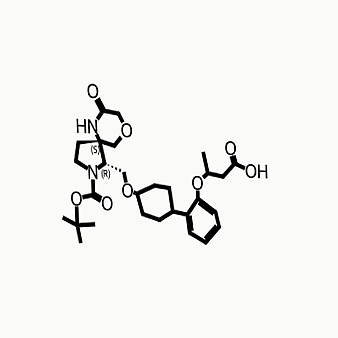 CC(CC(=O)O)Oc1ccccc1C1CCC(OC[C@@H]2N(C(=O)OC(C)(C)C)CC[C@@]23COCC(=O)N3)CC1